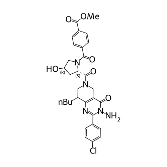 CCCCC1CN(C(=O)[C@@H]2C[C@@H](O)CN2C(=O)c2ccc(C(=O)OC)cc2)Cc2c1nc(-c1ccc(Cl)cc1)n(N)c2=O